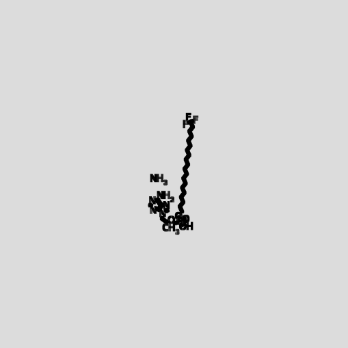 C[C@H](Cn1cnc2c(N)ncnc21)OCP(=O)(O)OCCCCCCCCCCCCCCCCCCCC(F)(F)F.N